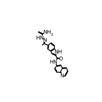 C=C(N)N/N=C(\C)c1ccc2[nH]c(C(=O)Nc3ccc4ncccc4c3)cc2c1